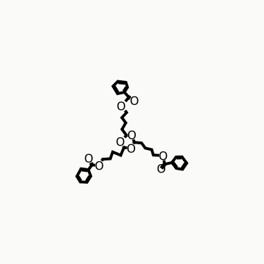 O=C(OCCCCC1OC(CCCCOC(=O)c2ccccc2)OC(CCCCOC(=O)c2ccccc2)O1)c1ccccc1